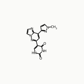 Cn1ccc(-c2cc(-c3c[nH]c(=O)[nH]c3=O)nn3ccnc23)n1